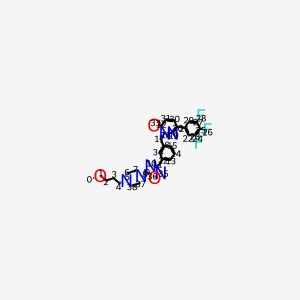 COCCCN1CCN(c2nc(-c3cccc(Cn4nc(-c5cc(F)c(F)c(F)c5)ccc4=O)c3)no2)CC1